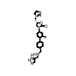 O=C1O[C@@H](Cn2ccnn2)CN1c1ccc(-c2ccc(CNCc3cnn[nH]3)cc2)c(F)c1